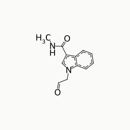 CNC(=O)c1cn(CC=O)c2ccccc12